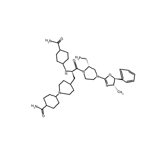 C[C@@H]1N=C(N2CCN(C(=O)[C@@H](CC3CCN(C4CCC(C(N)=O)CC4)CC3)NC3CCC(C(N)=O)CC3)[C@H](CP)C2)O[C@H]1c1ccccc1